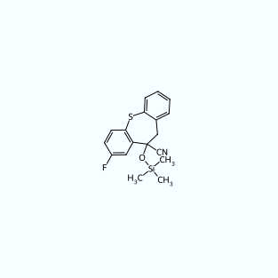 C[Si](C)(C)OC1(C#N)Cc2ccccc2Sc2ccc(F)cc21